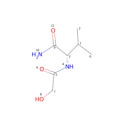 CC(C)[C@H](NC(=O)CO)C(N)=O